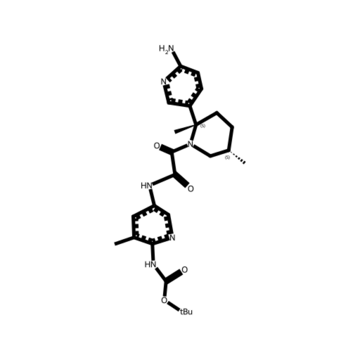 Cc1cc(NC(=O)C(=O)N2C[C@@H](C)CC[C@@]2(C)c2ccc(N)nc2)cnc1NC(=O)OC(C)(C)C